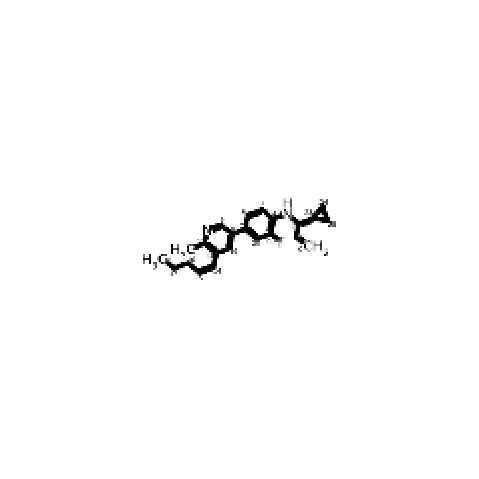 C=CC(Nc1ccc(-c2cnc(C)c(/C=C\CCC)c2)cc1F)=C1CC1